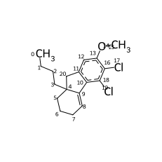 CCCCC12CCCC=C1c1c(cc(OC)c(Cl)c1Cl)C2